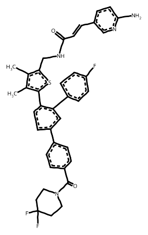 Cc1c(CNC(=O)C=Cc2ccc(N)nc2)sc(-c2ccc(-c3ccc(C(=O)N4CCC(F)(F)CC4)cc3)cc2-c2ccc(F)cc2)c1C